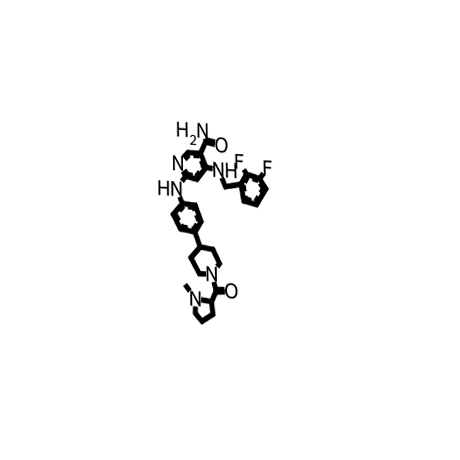 CN1CCCC1C(=O)N1CCC(c2ccc(Nc3cc(NCc4cccc(F)c4F)c(C(N)=O)cn3)cc2)CC1